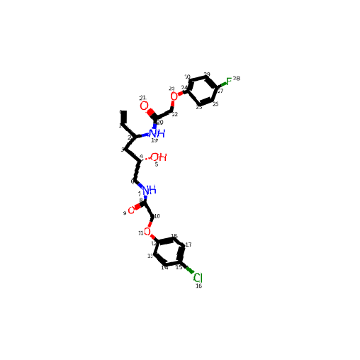 C=CC(C[C@H](O)CNC(=O)COc1ccc(Cl)cc1)NC(=O)COc1ccc(F)cc1